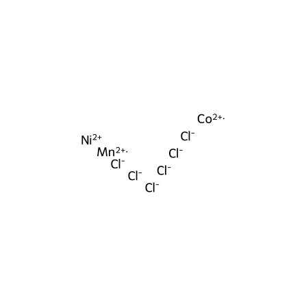 [Cl-].[Cl-].[Cl-].[Cl-].[Cl-].[Cl-].[Co+2].[Mn+2].[Ni+2]